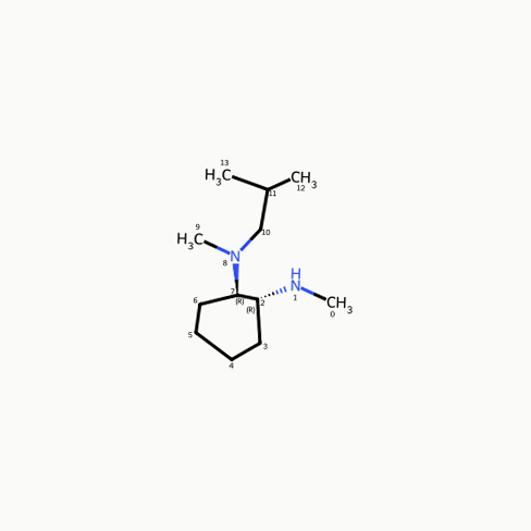 CN[C@@H]1CCCC[C@H]1N(C)CC(C)C